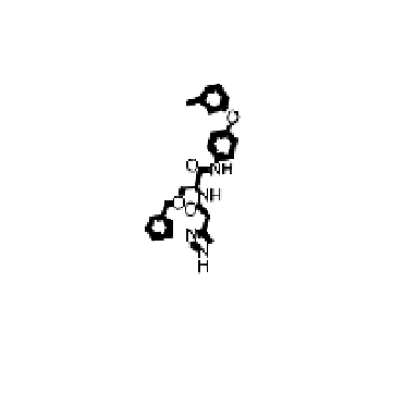 Cc1cccc(Oc2ccc(NC(=O)[C@H](COCc3ccccc3)NC(=O)Cc3c[nH]cn3)cc2)c1